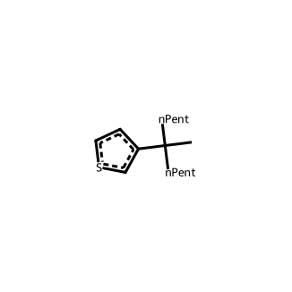 CCCCCC(C)(CCCCC)c1ccsc1